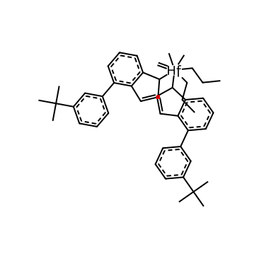 [CH2]=[Hf]([CH3])([CH3])([CH2]CC)([CH2]CC)([CH]1C=Cc2c(-c3cccc(C(C)(C)C)c3)cccc21)[CH]1C=Cc2c(-c3cccc(C(C)(C)C)c3)cccc21